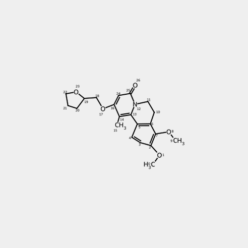 COc1ccc2c(c1OC)CCn1c-2c(C)c(OCC2CCCO2)cc1=O